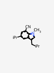 CC(C)Cc1cn(C)c2c(C#N)cc(C(C)C)cc12